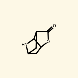 O=C1OC2CC3CC1C2N3